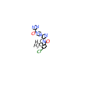 CC1(C)c2cc(Cl)ccc2C(=O)N1c1cncc(N2CCN(C(=O)c3cncnc3)CC2)c1